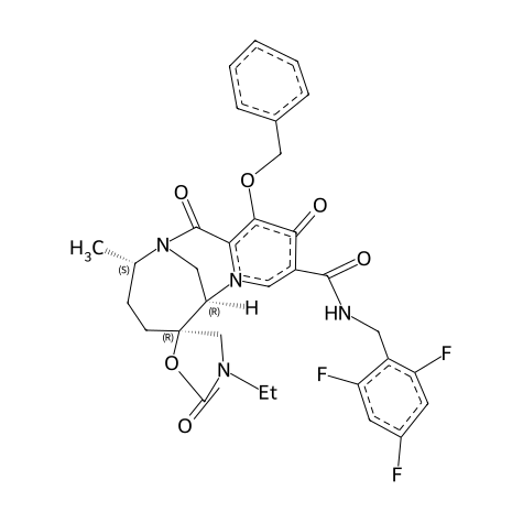 CCN1C[C@@]2(CC[C@H](C)N3C[C@H]2n2cc(C(=O)NCc4c(F)cc(F)cc4F)c(=O)c(OCc4ccccc4)c2C3=O)OC1=O